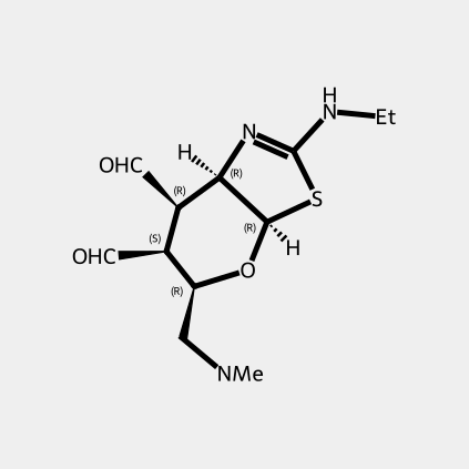 CCNC1=N[C@@H]2[C@H](C=O)[C@H](C=O)[C@H](CNC)O[C@@H]2S1